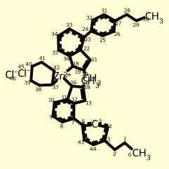 CCCc1ccc(-c2cccc3c2C=C(C)[CH]3[Zr+2]2([CH]3C(C)=Cc4c(-c5ccc(CCC)cc5)cccc43)[CH]3CCCC[CH]32)cc1.[Cl-].[Cl-]